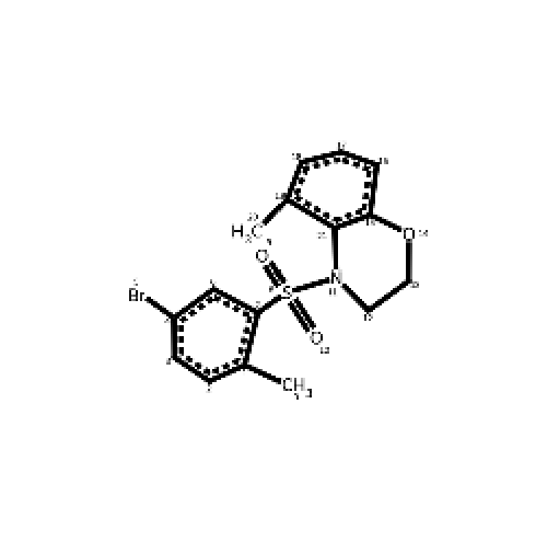 Cc1ccc(Br)cc1S(=O)(=O)N1CCOc2cccc(C)c21